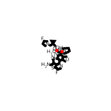 C[C@@H](O)CN1CC2CCC(C1)N2c1nc(OCC2(CN3CC[C@H](F)C3)CC2)nc2c(F)c(-c3ncc(F)c4sc(N)c(C#N)c34)c3c(c12)COC3